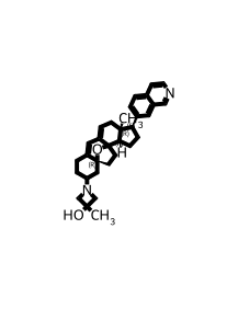 CC1(O)CN(C2CCC3=CC4=CC[C@]5(C)[C@@H](c6ccc7ccncc7c6)CC[C@H]5C45CC[C@]3(C2)O5)C1